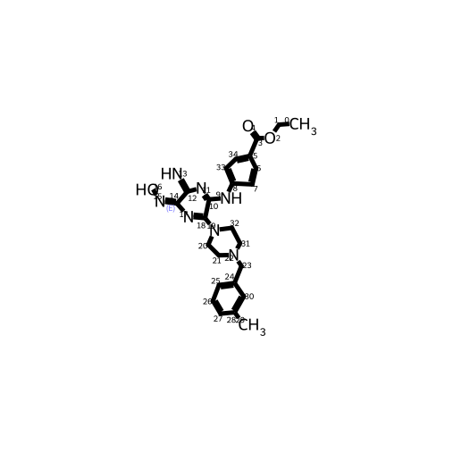 CCOC(=O)c1ccc(NC2=NC(=N)/C(=N\O)N=C2N2CCN(Cc3cccc(C)c3)CC2)cc1